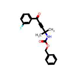 CC(C)(C#CC(=O)c1cccc(F)c1)NC(=O)OCc1ccccc1